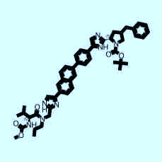 CCCN(Cc1nc(-c2ccc3cc(-c4ccc(-c5cnc([C@@H]6CC(Cc7ccccc7)CN6C(=O)OC(C)(C)C)[nH]5)cc4)ccc3c2)c[nH]1)C(=O)[C@@H](NC(=O)OC)C(C)C